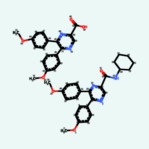 COc1ccc(-c2ncc(C(=O)NC3CCCCC3)nc2-c2ccc(OC)cc2)cc1.COc1ccc(-c2ncc(C(=O)O)nc2-c2ccc(OC)cc2)cc1